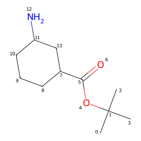 CC(C)(C)OC(=O)C1CCCC(N)C1